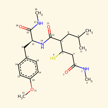 CNC(=O)CC(S)C(CC(C)C)C(=O)N[C@@H](Cc1ccc(OC)cc1)C(=O)NC